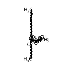 CCCCCCCCCCCCCCCCCCCC(=O)OC(COC(=O)CCCCCCCCCC)COP(=O)(O)OCC[N+](C)(C)C